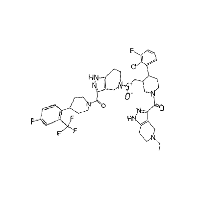 CCN1CCc2[nH]nc(C(=O)N3CCC(c4cccc(F)c4Cl)C(C[S+]([O-])N4CCc5[nH]nc(C(=O)N6CCC(c7ccc(F)cc7C(F)(F)F)CC6)c5C4)C3)c2C1